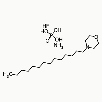 CCCCCCCCCCCCCCN1CCOCC1.F.N.O=P(O)(O)O